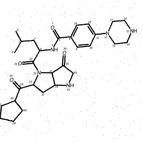 CC(C)CC(NC(=O)c1ccc(N2CCNCC2)cc1)C(=O)N1C(C(=O)C2CCCC2)CC2NCC(=O)C21